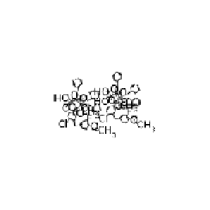 CCOc1ccc(Cc2cc([C@]3(OC)OC(CO)(CO)[C@@H](OCc4ccccc4)[C@H](OCc4ccccc4)[C@H]3OCc3ccccc3)ccc2Cl)cc1F.CCOc1ccc(Cc2cc([C@]3(OC)O[C@@](C=O)(CO)[C@@H](OCc4ccccc4)[C@H](OCc4ccccc4)[C@H]3OCc3ccccc3)ccc2Cl)cc1F